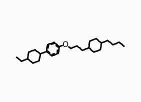 CCCCC1CCC(CCCOc2ccc(C3CCC(CC)CC3)cc2)CC1